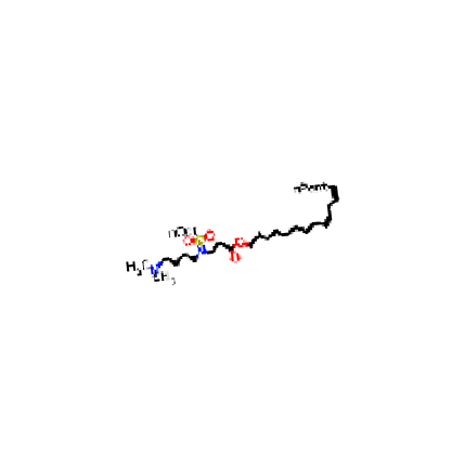 CCCCC/C=C\C/C=C\CCCCCCCCOC(=O)CCN(CCCCN(C)C)S(=O)(=O)CCCCCCCC